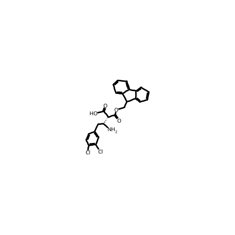 NC(Cc1ccc(Cl)c(Cl)c1)[C@H](C(=O)O)C(=O)OCC1c2ccccc2-c2ccccc21